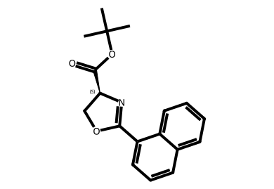 CC(C)(C)OC(=O)[C@@H]1COC(c2cccc3ccccc23)=N1